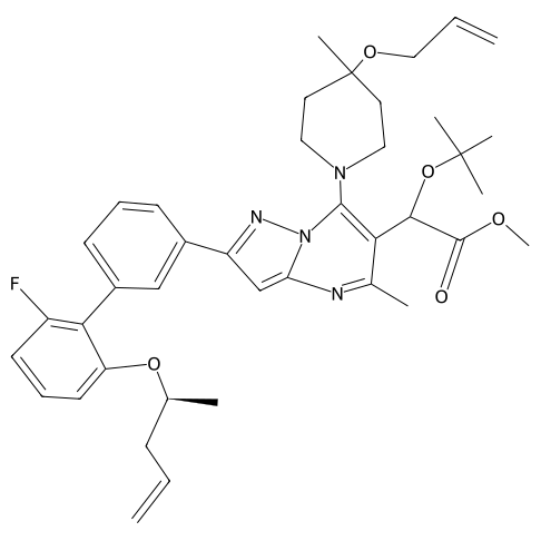 C=CCOC1(C)CCN(c2c(C(OC(C)(C)C)C(=O)OC)c(C)nc3cc(-c4cccc(-c5c(F)cccc5O[C@@H](C)CC=C)c4)nn23)CC1